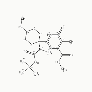 COC(=O)c1nc(C2(N(C)C(=O)OC(C)(C)C)CCC(CO)CC2)[nH]c(=O)c1O